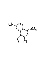 C=Cc1c(Cl)cc(S(=O)(=O)O)c2ccc(Cl)cc12